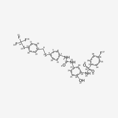 O=C(Nc1ccc(SCc2ccc(SC(F)(F)F)cc2)cc1)Nc1ccc(O)c(NS(=O)(=O)c2ccc(F)cc2)c1